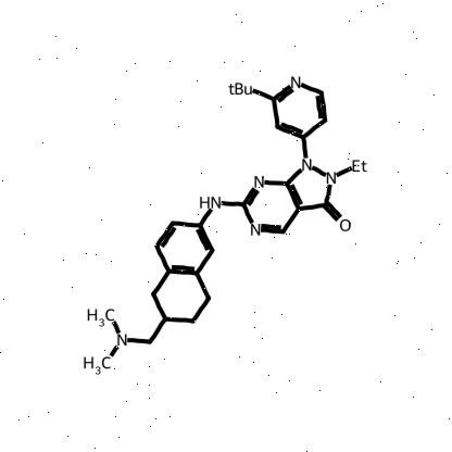 CCn1c(=O)c2cnc(Nc3ccc4c(c3)CCC(CN(C)C)C4)nc2n1-c1ccnc(C(C)(C)C)c1